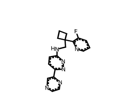 Fc1cccnc1C1(CNc2ccc(-c3cnccn3)nn2)CCC1